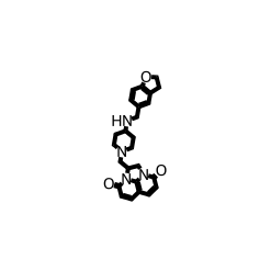 O=c1ccc2ccc(=O)n3c2n1CC3CN1CCC(NCc2ccc3c(c2)CCO3)CC1